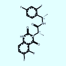 C[C@H](NC(=O)[C@H](C)n1c(=O)[nH]c2ccc(F)c(F)c2c1=O)c1ccc(F)cc1F